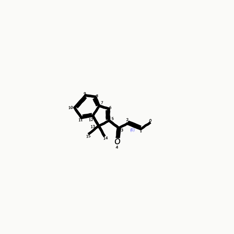 C/C=C/C(=O)C1=Cc2ccccc2C1(C)C